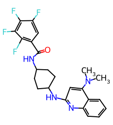 CN(C)c1cc(NC2CCC(NC(=O)c3cc(F)c(F)c(F)c3F)CC2)nc2ccccc12